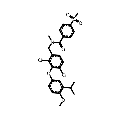 COc1ccc(Oc2c(Cl)ccc(CN(C)C(=O)c3ccc(S(C)(=O)=O)cc3)c2Cl)cc1C(C)C